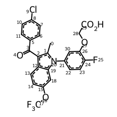 Cc1c(C(=O)c2ccc(Cl)cc2)c2ccc(OC(F)(F)F)cc2n1-c1ccc(F)c(OCC(=O)O)c1